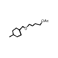 CC(=O)OCCCCOCC1CCC(C)CC1